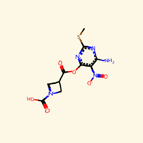 CSc1nc(N)c([N+](=O)[O-])c(OC(=O)C2CN(C(=O)O)C2)n1